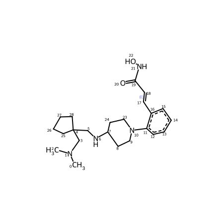 CN(C)CC1(CNC2CCN(c3ccccc3/C=C/C(=O)NO)CC2)CCCC1